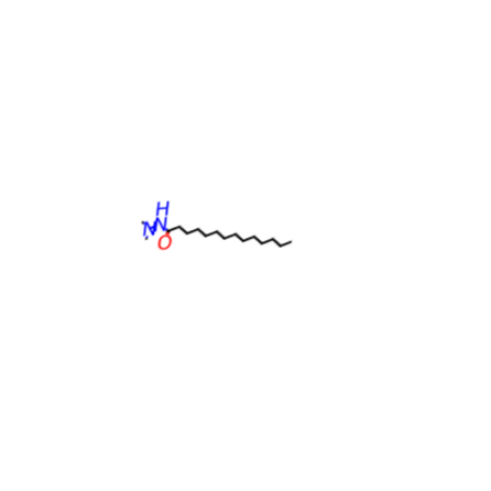 CCCCCCCCCCCCCC(=O)NN(C)C